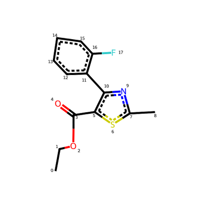 CCOC(=O)c1sc(C)nc1-c1ccccc1F